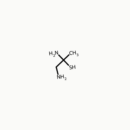 CC(N)(S)CN